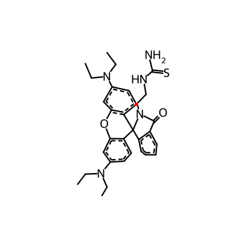 CCN(CC)c1ccc2c(c1)Oc1cc(N(CC)CC)ccc1C21c2ccccc2C(=O)N1CCNC(N)=S